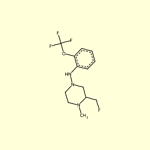 CN1CCN(Nc2ccccc2OC(F)(F)F)CC1CF